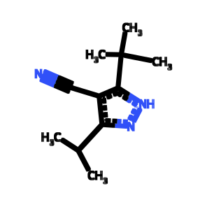 CC(C)c1n[nH]c(C(C)(C)C)c1C#N